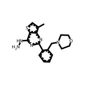 Cc1csc2c(NN)nc(-c3ccccc3CN3CCOCC3)nc12